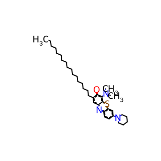 CCCCCCCCCCCCCCCCCc1cc2nc3ccc(N4CCCCC4)cc3sc-2c(N(C)C)c1=O